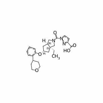 CC[C@]12C[C@H](Oc3ccccc3C3CCOCC3)C[C@H]1CN(C(=O)n1ccc(C(=O)O)n1)C2